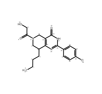 CCCCC1CN(C(=O)CO)Cc2c1nc(-c1ccc(Cl)cc1)[nH]c2=O